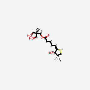 C[C@H]1CS/C(=C/CCCC(=O)OCC(C)(CO)CO)[C@H]1O